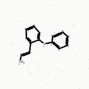 [CH2]C=Cc1ccccc1Oc1ccccc1